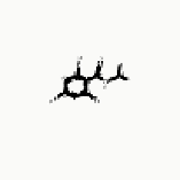 CC(C)OC(=O)c1c(F)cc(F)cc1F